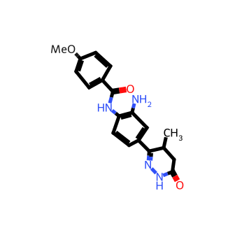 COc1ccc(C(=O)Nc2ccc(C3=NNC(=O)CC3C)cc2N)cc1